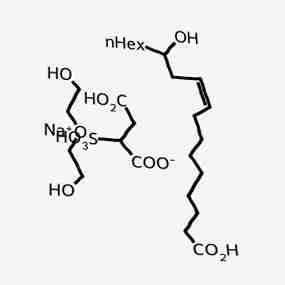 CCCCCCC(O)C/C=C\CCCCCCCC(=O)O.O=C(O)CC(C(=O)[O-])S(=O)(=O)O.OCCOCCO.[Na+]